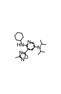 Cc1noc(-c2cc(N(C(C)C)C(C)C)cnc2NC2CCCCC2)n1